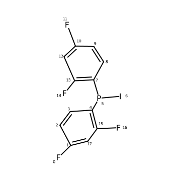 Fc1ccc(P(I)c2ccc(F)cc2F)c(F)c1